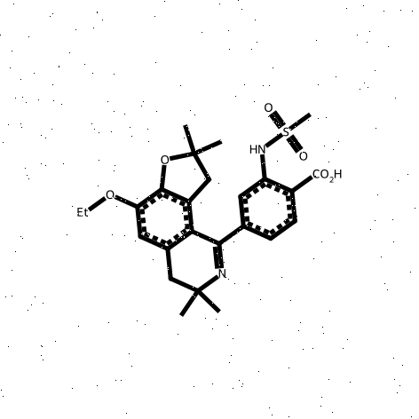 CCOc1cc2c(c3c1OC(C)(C)C3)C(c1ccc(C(=O)O)c(NS(C)(=O)=O)c1)=NC(C)(C)C2